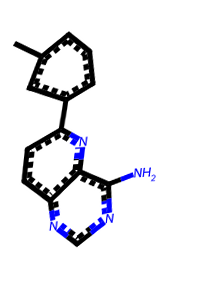 Cc1cccc(-c2ccc3ncnc(N)c3n2)c1